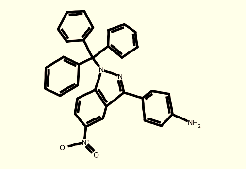 Nc1ccc(-c2nn(C(c3ccccc3)(c3ccccc3)c3ccccc3)c3ccc([N+](=O)[O-])cc23)cc1